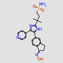 CC(C)(CCS(N)(=O)=O)c1nc(-c2ccncc2)c(-c2ccc3c(c2)CCC3=NO)[nH]1